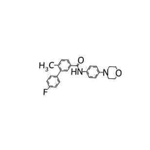 Cc1ccc(C(=O)Nc2ccc(N3CCOCC3)cc2)cc1-c1ccc(F)cc1